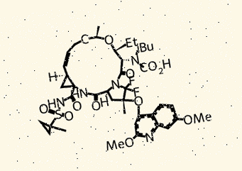 CCC(C)N(C(=O)O)[C@@H]1C(=O)N2[C@@H](C[C@@](C)(Oc3cc(OC)nc4cc(OC)ccc34)C2(F)F)C(=O)NC2(C(=O)NS(=O)(=O)C3(C)CC3)C[C@H]2/C=C\CC[C@@H](C)O[C@H]1CC